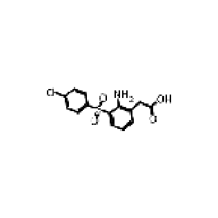 Nc1c(CC(=O)O)cccc1S(=O)(=O)c1ccc(Cl)cc1